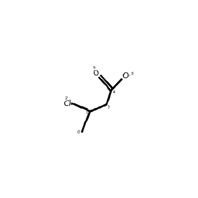 CC(Cl)CC([O])=O